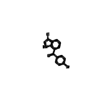 O=C(c1ccc(Br)cc1)c1cccc2c(Cl)c[nH]c12